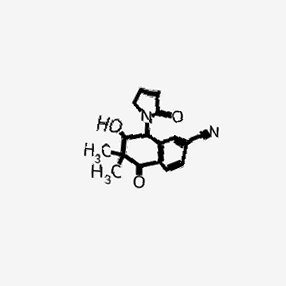 CC1(C)C(=O)c2ccc(C#N)cc2C(N2CCCC2=O)C1O